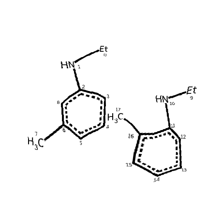 CCNc1cccc(C)c1.CCNc1ccccc1C